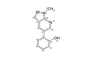 Cn1ncc2cc(-c3ccccc3O)cnc21